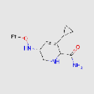 CCON[C@@H]1C=C(C2CC2)C(C(N)=O)NC1